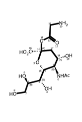 CC(=O)N[C@H]1[C@H]([C@H](O)[C@H](O)CO)O[C@](OC(=O)CN)(C(=O)O)C[C@@H]1O